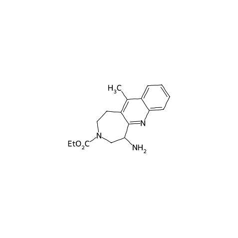 CCOC(=O)N1CCc2c(nc3ccccc3c2C)C(N)C1